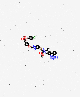 CCCc1nc(CSc2ccc3nc(CCOc4ccc(CC(OCc5ccc(Cl)cc5)C(=O)OC)cc4)n(C)c3c2)c(C(=O)OCC)n1Cc1ccc(-c2ccccc2-c2nnn[nH]2)cc1